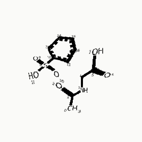 CC(=O)NCC(=O)O.O=S(=O)(O)c1ccccc1